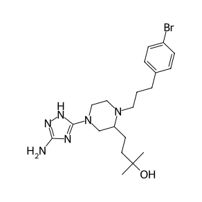 CC(C)(O)CCC1CN(c2nc(N)n[nH]2)CCN1CCCc1ccc(Br)cc1